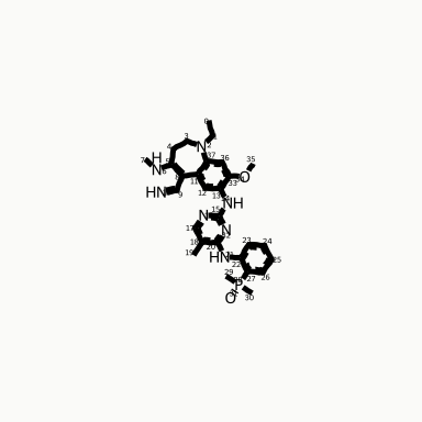 CCN1CCC(NC)=C(C=N)c2cc(Nc3ncc(C)c(Nc4ccccc4P(C)(C)=O)n3)c(OC)cc21